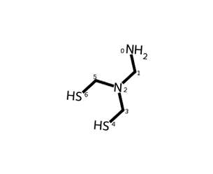 NCN(CS)CS